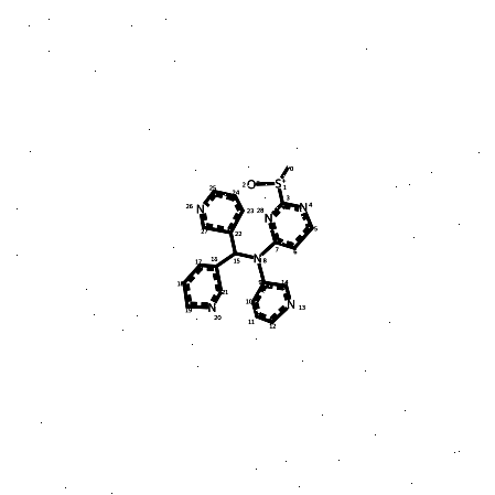 C[S+]([O-])c1nccc(N(c2cccnc2)C(c2cccnc2)c2cccnc2)n1